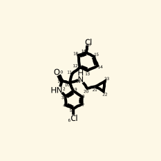 O=C1Nc2cc(Cl)ccc2C1(Cc1cccc(Cl)c1)NCC1CC1